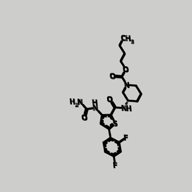 CCCCOC(=O)N1CCC[C@H](NC(=O)c2sc(-c3ccc(F)cc3F)cc2NC(N)=O)C1